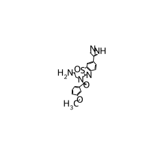 COc1cccc(C(=O)N(CC(N)=O)c2nc3ccc(-c4cn[nH]c4)cc3s2)c1